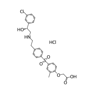 Cc1cc(S(=O)(=O)c2ccc(CCNC[C@@H](O)c3cccc(Cl)c3)cc2)ccc1OCC(=O)O.Cl